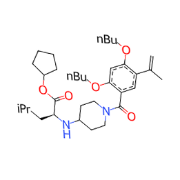 C=C(C)c1cc(C(=O)N2CCC(N[C@@H](CC(C)C)C(=O)OC3CCCC3)CC2)c(OCCCC)cc1OCCCC